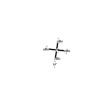 CCCC[P+](CCCC)(CCCC)CCCC.[H+]